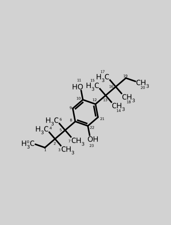 CCC(C)(C)C(C)(C)c1cc(O)c(C(C)(C)C(C)(C)CC)cc1O